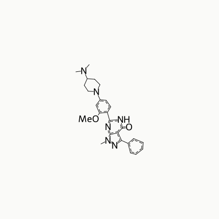 COc1cc(N2CCC(N(C)C)CC2)ccc1-c1nc2c(c(-c3ccccc3)nn2C)c(=O)[nH]1